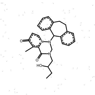 CCC(O)CN1CN(C2c3ccccc3CCc3ccccc32)n2ccc(=O)c(C)c2C1=O